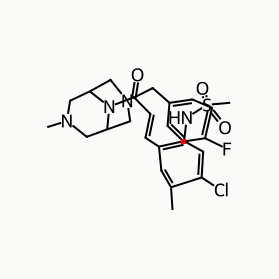 Cc1cc(/C=C/C(=O)N2C3CN(C)CC2CN(Cc2ccc(F)cc2)C3)c(NS(C)(=O)=O)cc1Cl